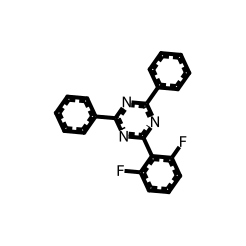 Fc1cccc(F)c1-c1nc(-c2ccccc2)nc(-c2ccccc2)n1